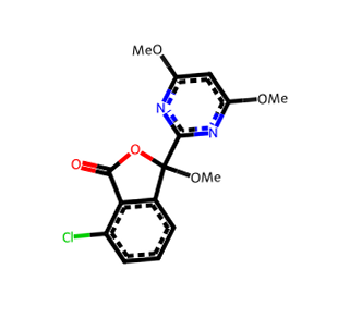 COc1cc(OC)nc(C2(OC)OC(=O)c3c(Cl)cccc32)n1